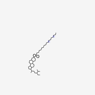 CC/C=C/CC/C=C/CCCCCCCCCC(=O)OC1CCC2C(CCC3C2CCC2C(C(C)CCC(CC)C(C)C)CCC23)C1